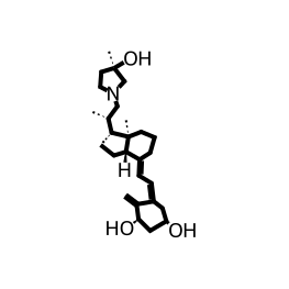 C=C1/C(=C\C=C2/CCC[C@]3(C)[C@@H]([C@H](C)CN4CC[C@@](C)(O)C4)CC[C@@H]23)C[C@@H](O)C[C@@H]1O